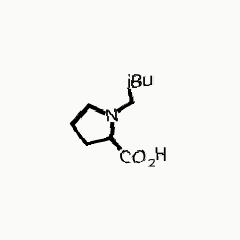 CCC(C)CN1CCCC1C(=O)O